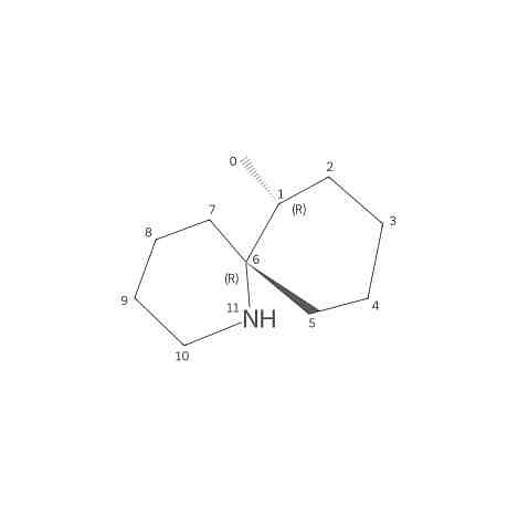 C[C@@H]1CCCC[C@@]12CCCCN2